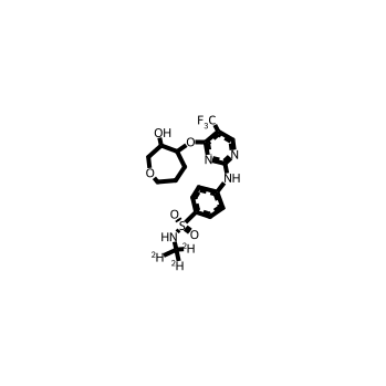 [2H]C([2H])([2H])NS(=O)(=O)c1ccc(Nc2ncc(C(F)(F)F)c(OC3CCCOCC3O)n2)cc1